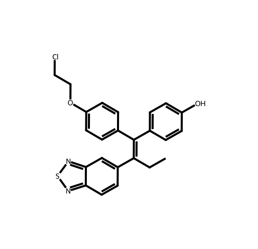 CCC(=C(c1ccc(O)cc1)c1ccc(OCCCl)cc1)c1ccc2nsnc2c1